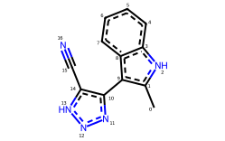 Cc1[nH]c2ccccc2c1-c1nn[nH]c1C#N